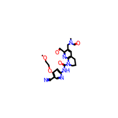 COCCOc1cc(NC(=O)N2CCCc3cc(CN(C)C=O)c(C=O)nc32)ncc1C#N